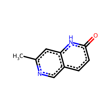 Cc1cc2[nH]c(=O)ccc2cn1